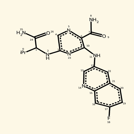 CC(C)C(Nc1cnc(C(N)=O)c(Nc2cnc3cc(F)ccc3c2)n1)C(N)=O